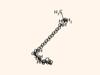 CCCCCCCCCCCC(=O)NC(CCCCNC(=O)CCOCCOCCOCCOCCOCCOCCOCCOCCOCCOCCOCCOCCNC(=O)CCN1C(=O)CC(SCCNC(=O)CN2CCN(CCNC(=O)[C@@H]3CCCCC3C(=O)N3CCN(C4=Nc5ccccc5Oc5ccc(Cl)cc54)CC3)CC2)C1=O)C(N)=O